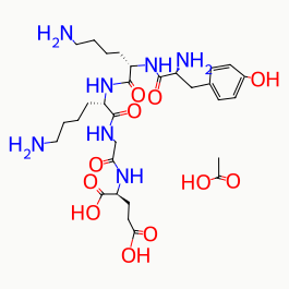 CC(=O)O.NCCCC[C@H](NC(=O)[C@H](CCCCN)NC(=O)[C@@H](N)Cc1ccc(O)cc1)C(=O)NCC(=O)N[C@@H](CCC(=O)O)C(=O)O